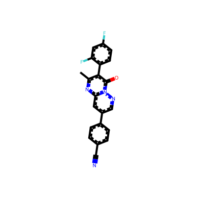 Cc1nc2cc(-c3ccc(C#N)cc3)cnn2c(=O)c1-c1ccc(F)cc1F